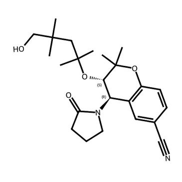 CC(C)(CO)CC(C)(C)O[C@H]1[C@H](N2CCCC2=O)c2cc(C#N)ccc2OC1(C)C